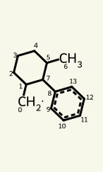 [CH2]C1CCCC(C)C1c1ccccc1